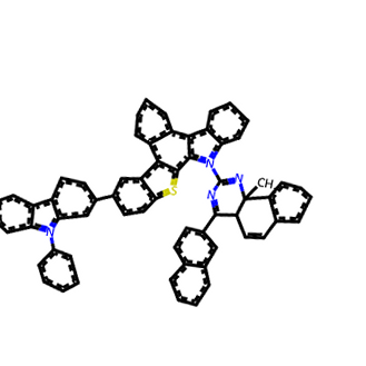 CC12N=C(n3c4ccccc4c4c5ccccc5c5c6cc(-c7ccc8c9ccccc9n(-c9ccccc9)c8c7)ccc6sc5c43)N=C(c3ccc4ccccc4c3)C1C=Cc1ccccc12